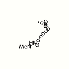 C=Cc1ccc(C(=O)N2CCC(Oc3ccc(COc4ccc(-c5ccc(C(=O)NCc6cccc(NC)c6)cc5)cc4)cc3)CC2)cc1